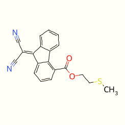 CSCCOC(=O)c1cccc2c1-c1ccccc1C2=C(C#N)C#N